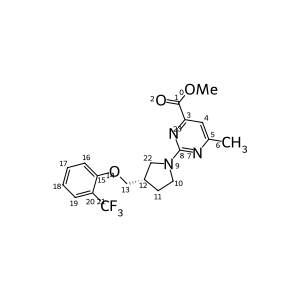 COC(=O)c1cc(C)nc(N2CC[C@H](COc3ccccc3C(F)(F)F)C2)n1